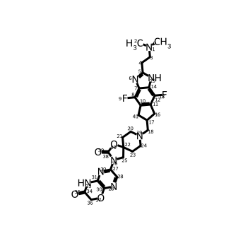 CN(C)CCc1nc2c(F)c3c(c(F)c2[nH]1)CC(CN1CCC2(CC1)CN(c1cnc4c(n1)NC(=O)CO4)C(=O)O2)C3